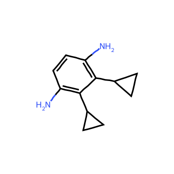 Nc1ccc(N)c(C2CC2)c1C1CC1